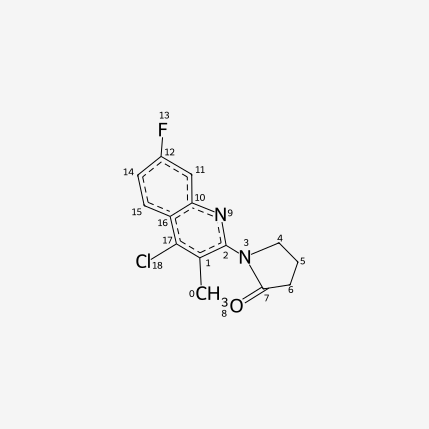 Cc1c(N2CCCC2=O)nc2cc(F)ccc2c1Cl